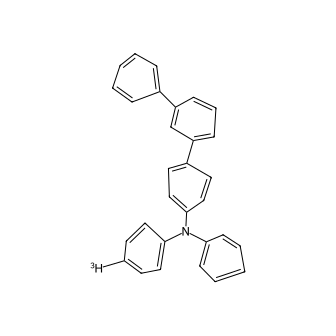 [3H]c1ccc(N(c2ccccc2)c2ccc(-c3cccc(-c4ccccc4)c3)cc2)cc1